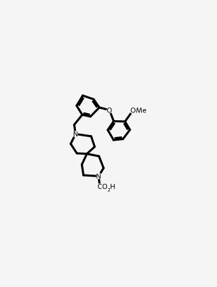 COc1ccccc1Oc1cccc(CN2CCC3(CC2)CCN(C(=O)O)CC3)c1